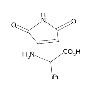 CC(C)C(N)C(=O)O.O=C1C=CC(=O)N1